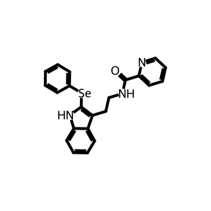 O=C(NCCc1c([Se]c2ccccc2)[nH]c2ccccc12)c1ccccn1